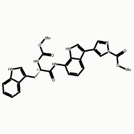 CC(C)(C)OC(=O)N[C@@H](Cc1c[nH]c2ccccc12)C(=O)Nc1cccc2c(-c3cnn(C(=O)OC(C)(C)C)c3)c[nH]c12